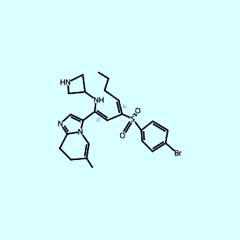 CCC/C=C(\C=C(/NC1CNC1)c1cnc2n1C=C(C)CC2)S(=O)(=O)c1ccc(Br)cc1